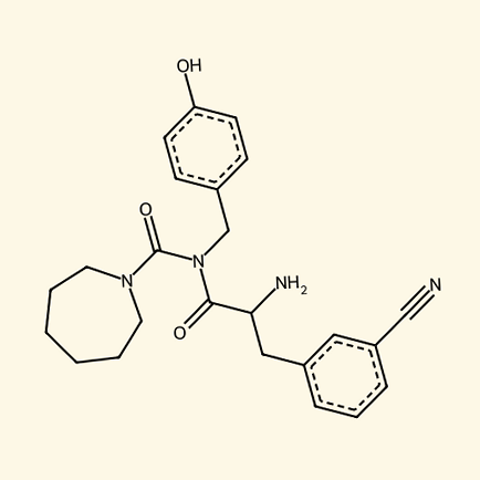 N#Cc1cccc(CC(N)C(=O)N(Cc2ccc(O)cc2)C(=O)N2CCCCCC2)c1